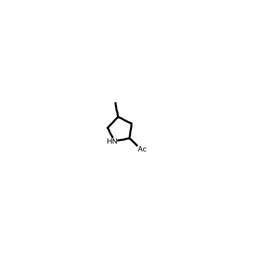 CC(=O)C1CC(C)CN1